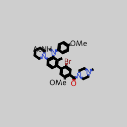 COc1ccc(N(NC(C)=O)c2c(N3CCCCC3)ccc(-c3cc(OC)c(C(=O)N4CCN(C)CC4)cc3Br)c2C)cc1